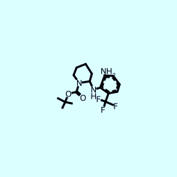 CC(C)(C)OC(=O)N1CCCCC1Nc1c(N)cccc1C(F)(F)F